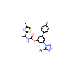 Cc1ccc(-c2cc(OC(=O)NC(C)c3nc(C)cs3)cc(-n3nnnc3C(C)C)c2)cc1